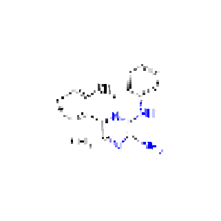 Cc1cccc(C)c1-c1cnc(N)c(Nc2ccccc2)n1